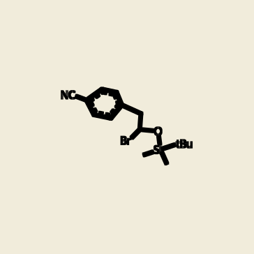 CC(C)(C)[Si](C)(C)OC(Br)Cc1ccc(C#N)cc1